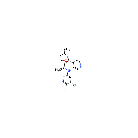 C=C(Nc1cnc(Cl)c(Cl)c1)C1C2CC(C)C(O2)C1c1ccncc1